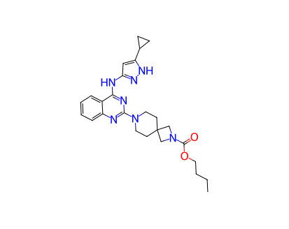 CCCCOC(=O)N1CC2(CCN(c3nc(Nc4cc(C5CC5)[nH]n4)c4ccccc4n3)CC2)C1